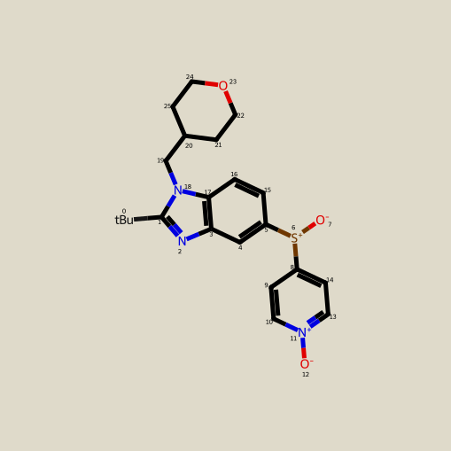 CC(C)(C)c1nc2cc([S+]([O-])c3cc[n+]([O-])cc3)ccc2n1CC1CCOCC1